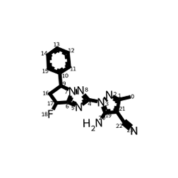 Cc1nn(-c2nc3n(n2)C(c2ccccc2)CC3F)c(N)c1C#N